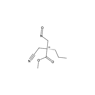 CCC[C@](CC#N)(CN=O)C(=O)OC